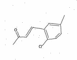 CC(=O)/C=C/c1cc(C)ccc1Cl